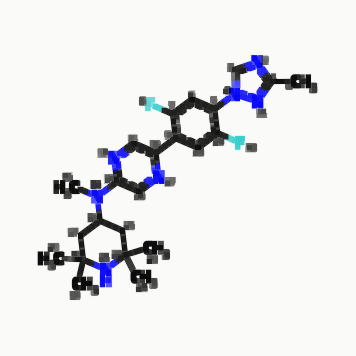 Cc1ncn(-c2cc(F)c(-c3cnc(N(C)C4CC(C)(C)NC(C)(C)C4)cn3)cc2F)n1